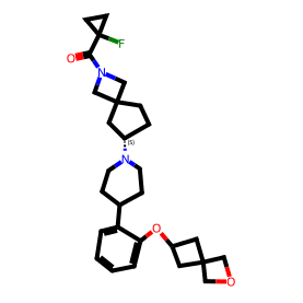 O=C(N1CC2(CC[C@H](N3CCC(c4ccccc4OC4CC5(COC5)C4)CC3)C2)C1)C1(F)CC1